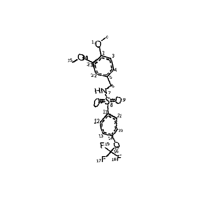 COc1ccc(CNS(=O)(=O)c2ccc(OC(F)(F)F)cc2)cc1OC